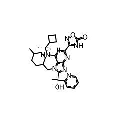 CC1CCC(Cn2c(C(C)(O)c3ccccn3)nc3nc(-c4noc(=O)[nH]4)nc(N[C@H](C)C4CCC4)c32)CC1